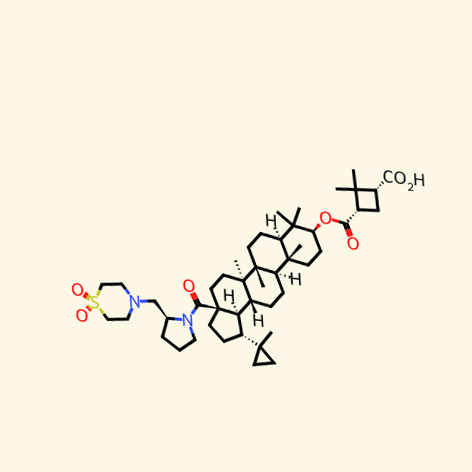 CC1([C@@H]2CC[C@]3(C(=O)N4CCC[C@H]4CN4CCS(=O)(=O)CC4)CC[C@]4(C)[C@H](CC[C@@H]5[C@@]6(C)CC[C@H](OC(=O)[C@H]7C[C@@H](C(=O)O)C7(C)C)C(C)(C)[C@@H]6CC[C@]54C)[C@@H]23)CC1